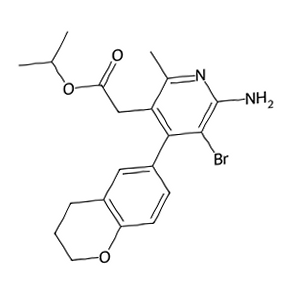 Cc1nc(N)c(Br)c(-c2ccc3c(c2)CCCO3)c1CC(=O)OC(C)C